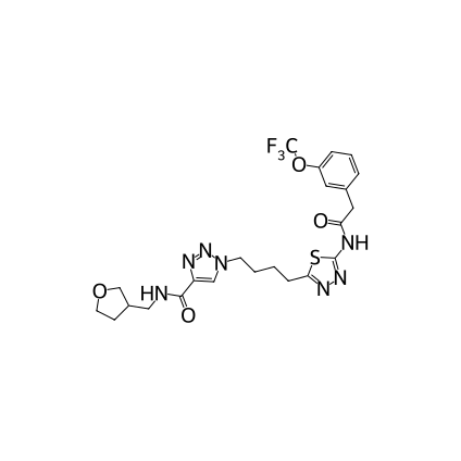 O=C(Cc1cccc(OC(F)(F)F)c1)Nc1nnc(CCCCn2cc(C(=O)NCC3CCOC3)nn2)s1